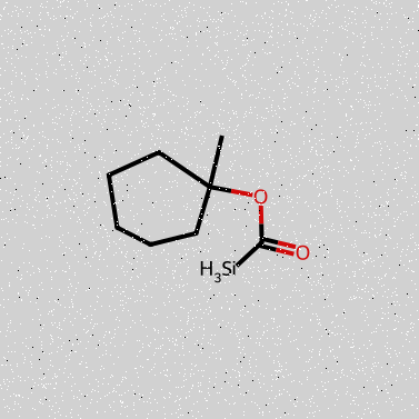 CC1(OC(=O)[SiH3])CCCCC1